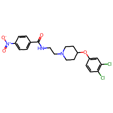 O=C(NCCN1CCC(Oc2ccc(Cl)c(Cl)c2)CC1)c1ccc([N+](=O)[O-])cc1